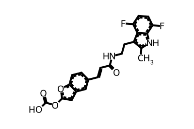 Cc1[nH]c2c(F)ccc(F)c2c1CCNC(=O)/C=C/c1ccc2oc(OC(=O)O)cc2c1